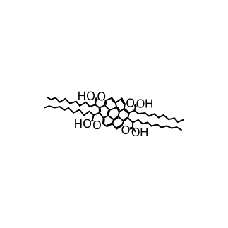 CCCCCCCCCCC(C(=O)O)c1c(C(CCCCCCCCCC)C(=O)O)c2ccc3ccc4c(C(CCCCCCCCCC)C(=O)O)c(C(CCCCCCCCCC)C(=O)O)c5ccc6ccc1c1c6c5c4c3c21